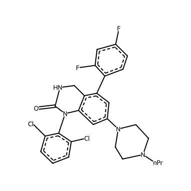 CCCN1CCN(c2cc(-c3ccc(F)cc3F)c3c(c2)N(c2c(Cl)cccc2Cl)C(=O)NC3)CC1